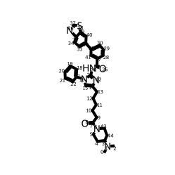 CN(C)C1CCN(C(=O)CCCCCc2cn(-c3ccccc3)c(NC(=O)c3cccc(-c4ccc5ncsc5c4)c3)n2)CC1